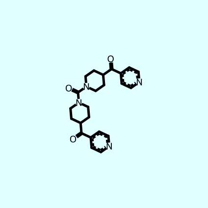 O=C(c1ccncc1)C1CCN(C(=O)N2CCC(C(=O)c3ccncc3)CC2)CC1